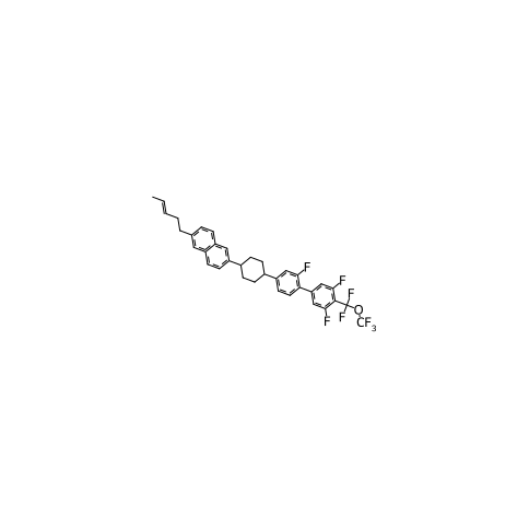 C/C=C/CCc1ccc2cc(C3CCC(c4ccc(-c5cc(F)c(C(F)(F)OC(F)(F)F)c(F)c5)c(F)c4)CC3)ccc2c1